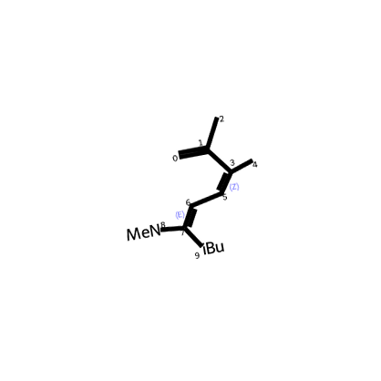 C=C(C)/C(C)=C\C=C(\NC)C(C)CC